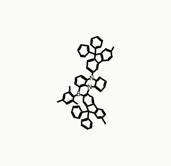 Cc1cc(C)c(B2c3cc4c(cc3N3c5ccccc5N(c5ccc6c(c5)-c5ccc(C)cc5C6(c5ccccc5)c5ccccc5)c5cccc2c53)-c2ccc(C)cc2C4(c2ccccc2)c2ccccc2)c(C)c1